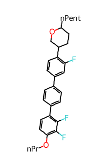 CCCCCC1CCC(c2ccc(-c3ccc(-c4ccc(OCCC)c(F)c4F)cc3)cc2F)CO1